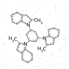 Cc1cc2ccccc2n1-c1cc(-n2c(C)cc3ccccc32)cc(-n2c(C)cc3ccccc32)c1